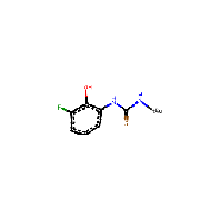 CC(C)(C)NC(=S)Nc1cccc(F)c1O